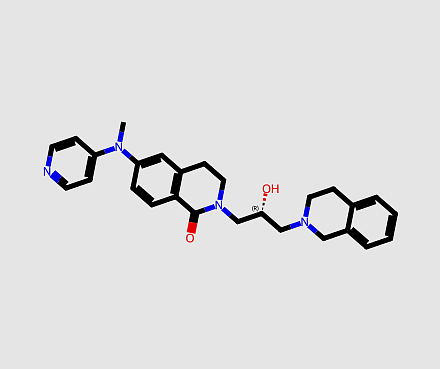 CN(c1ccncc1)c1ccc2c(c1)CCN(C[C@H](O)CN1CCc3ccccc3C1)C2=O